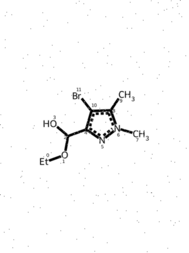 CCOC(O)c1nn(C)c(C)c1Br